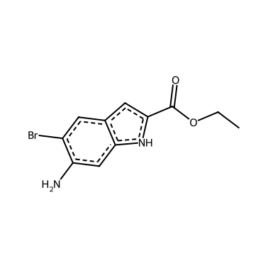 CCOC(=O)c1cc2cc(Br)c(N)cc2[nH]1